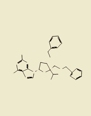 CC(F)[C@]1(COCc2ccccc2)O[C@@H](n2cnc3c(N)nc(F)nc32)C[C@@H]1OCc1ccccc1